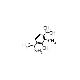 Cc1c(C(C)[SiH3])ccc(N(C)C)c1C